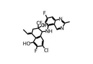 CC=C1CC(O)(C(F)(F)F)C(Nc2cc(F)cc3nc(C)ncc23)c2cc(Cl)c(F)c(O)c21